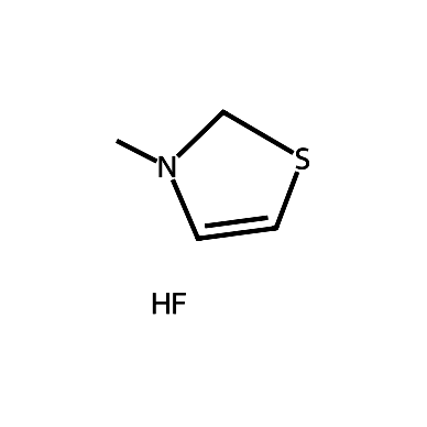 CN1C=CSC1.F